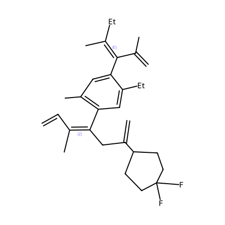 C=C/C(C)=C(/CC(=C)C1CCC(F)(F)CC1)c1cc(CC)c(/C(C(=C)C)=C(\C)CC)cc1C